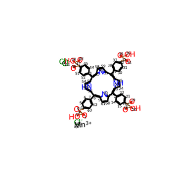 O=S(=O)(O)c1ccc(-c2c3nc(c(-c4ccc(S(=O)(=O)O)cc4)c4ccc([nH]4)c(-c4ccc(S(=O)(=O)O)cc4)c4nc(c(-c5ccc(S(=O)(=O)O)cc5)c5ccc2[nH]5)C=C4)C=C3)cc1.[Cl-].[Cl-].[Cl-].[Mn+3]